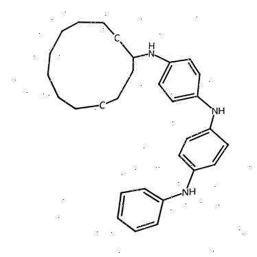 c1ccc(Nc2ccc(Nc3ccc(NC4CCCCCCCCCCC4)cc3)cc2)cc1